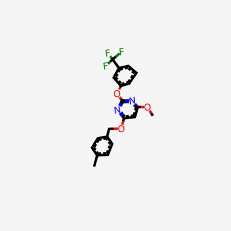 COc1cc(OCc2ccc(C)cc2)nc(Oc2cccc(C(F)(F)F)c2)n1